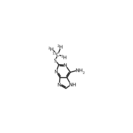 [2H][13C]([2H])([2H])Sc1nc(N)c2[nH]cnc2n1